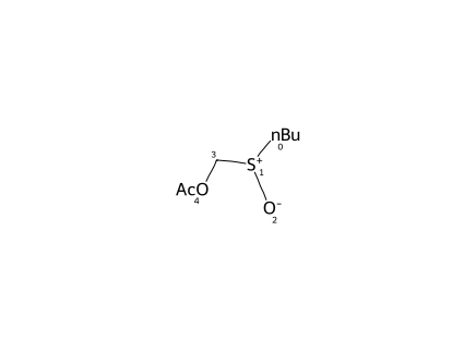 CCCC[S+]([O-])COC(C)=O